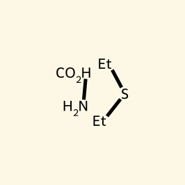 CCSCC.NC(=O)O